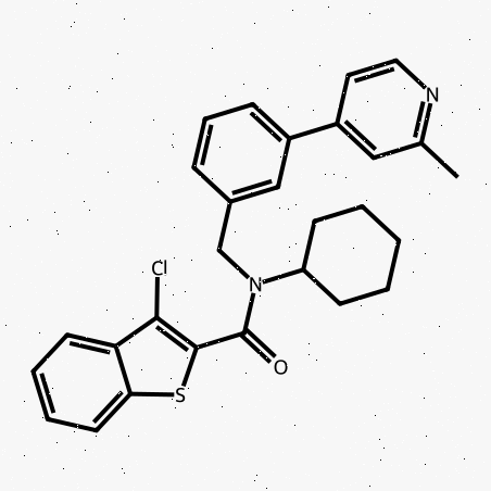 Cc1cc(-c2cccc(CN(C(=O)c3sc4ccccc4c3Cl)C3CCCCC3)c2)ccn1